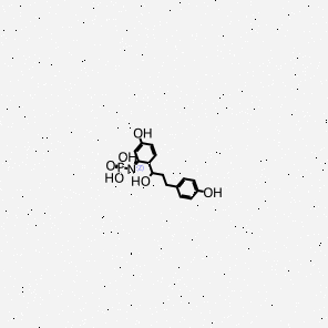 O=P(O)(O)/N=C1\C=C(O)C=CC1C(O)CCc1ccc(O)cc1